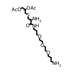 CC(=O)OC[C@H](CSC[C@H](N)C(=O)NCCCOCCOCCOCCCN)OC(C)=O